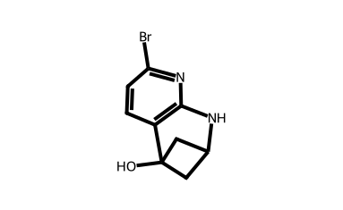 OC12CC(C1)Nc1nc(Br)ccc12